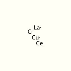 [Ce].[Cr].[Cu].[La]